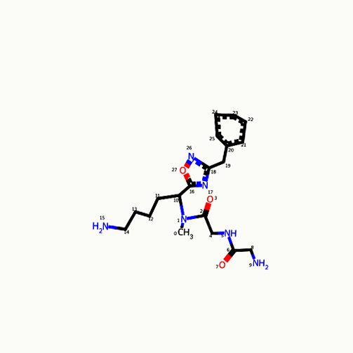 CN(C(=O)CNC(=O)CN)C(CCCCN)c1nc(Cc2ccccc2)no1